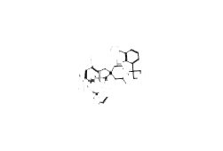 COC(=O)C1(Cc2nc(Nc3nccs3)ccc2F)CCN(C2(c3cccc(Cl)c3F)COC2)C(C)C1